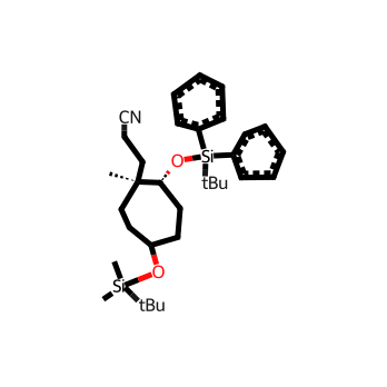 CC(C)(C)[Si](C)(C)OC1CC[C@@H](O[Si](c2ccccc2)(c2ccccc2)C(C)(C)C)[C@](C)(CCC#N)CC1